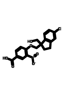 O=C(O)c1ccc(OCC2(CO)CCc3cc(Cl)ccc32)c([N+](=O)[O-])c1